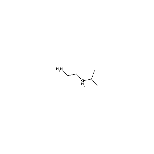 CC(C)[SiH2]CCN